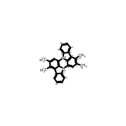 Cc1cc2c3c(c1C)c1ccccc1n3c1cc(C)c(C)c3c4ccccc4n2c31